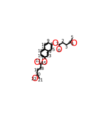 O=C(CCC1CO1)Oc1ccc2ccc(OC(=O)CCC3CO3)cc2c1